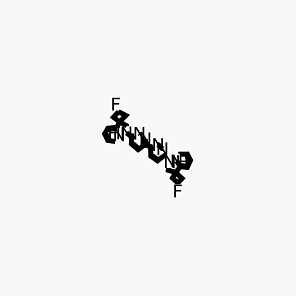 FC1CC(CNc2ccc(-c3ccc(NCC4(c5ccccn5)CC(F)C4)nn3)nn2)(c2ccccn2)C1